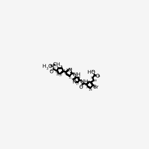 CN(C)C(=O)c1ccc(-c2ccc(Nc3cncc(NC(=O)c4ccc(Br)c(CCC(=O)O)c4)c3)nc2)cc1